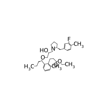 CCC[C@@H](OC[C@H](O)CN1CCC[C@H]1Cc1ccc(C)c(F)c1)c1cccc(C)c1CCC(=O)OCC